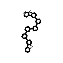 c1cc(-c2cccc(-c3cccc(-c4ccc5oc6cnccc6c5c4)c3)c2)cc(-c2cccc(-c3ccc4oc5ccccc5c4c3)c2)c1